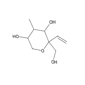 C=CC1(CO)OCC(O)C(C)C1O